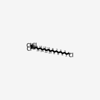 ClCCCCCCCCCCCCCCCCCC[Si](Cl)(Cl)Cl